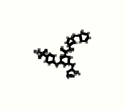 COCC(C)Oc1nc(Oc2ccc(S(C)(=O)=O)cc2)nc(C(=O)Nc2ccn(Cc3ccccn3)n2)n1